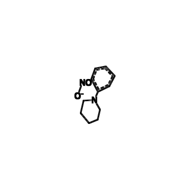 O=[NH+][O-].c1ccc(N2CCCCC2)cc1